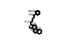 COc1ccccc1C(O)CCC[C@@H](C)[C@H]1CC[C@H]2[C@@H]3CC=C4CCCC[C@]4(C)[C@H]3CC[C@]12C